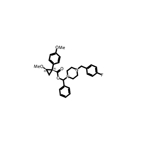 COc1ccc([C@]2(C(=O)OC(c3ccccc3)N3CCN(Cc4ccc(F)cc4)CC3)C[C@H]2OC)cc1